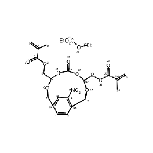 C=C(C)C(=O)OCC1OCc2ccc(c([N+](=O)[O-])c2)COC(COC(=O)C(=C)C)OC(=O)O1.[CH2]COC(=O)OC[CH2]